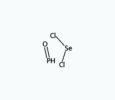 Cl[Se]Cl.O=P